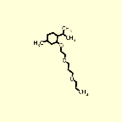 CCCOCCCOCCOC1CC(C)CCC1C(C)C